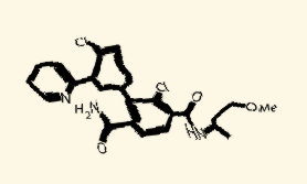 COCC(C)NC(=O)c1ccc(C(N)=O)c(-c2ccc(Cl)c(-c3ccccn3)c2)c1Cl